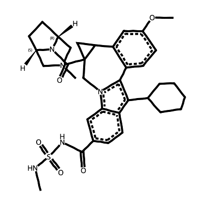 CNS(=O)(=O)NC(=O)c1ccc2c(C3CCCCC3)c3n(c2c1)CC1(C(=O)N2[C@@H]4CC[C@H]2CN(C)C4)CC1c1cc(OC)ccc1-3